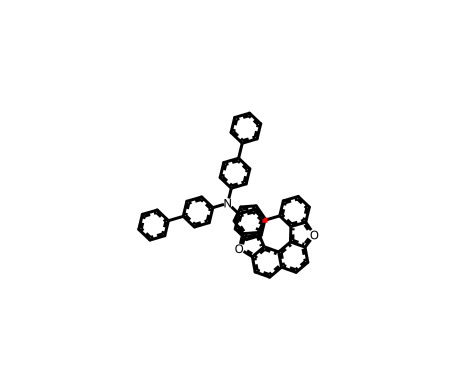 c1ccc(-c2ccc(N(c3ccc(-c4ccccc4)cc3)c3cccc(-c4cccc5oc6ccc7ccc8oc9ccccc9c8c7c6c45)c3)cc2)cc1